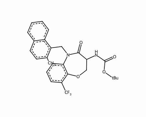 Cc1ccc2ccccc2c1CN1C(=O)C(NC(=O)OC(C)(C)C)COc2c1cccc2C(F)(F)F